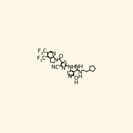 N#Cc1nc(Nc2snc(O)c2C(=N)NCCC2CCCC2)sc1C(=O)N1CCc2c1ncc(C(F)(F)F)c2C(F)(F)F